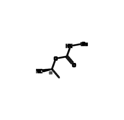 C[C@@H](C#N)OC(=O)NC(C)(C)C